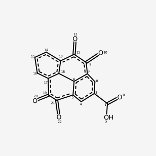 O=C(O)c1cc2c3c(c1)c(=O)c(=O)c1cccc(c1-3)c(=O)c2=O